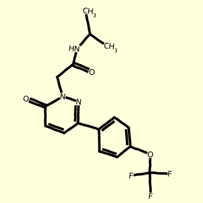 CC(C)NC(=O)Cn1nc(-c2ccc(OC(F)(F)F)cc2)ccc1=O